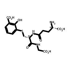 N[C@@H](CCC(=O)N[C@@H](CSc1cccc(C(=O)O)c1O)C(=O)NCC(=O)O)C(=O)O